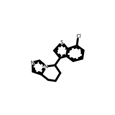 Clc1cccc2c(C3CCCc4cncn43)csc12